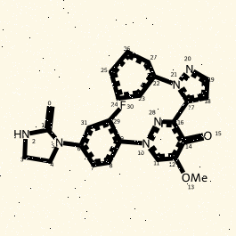 C=C1NCCN1c1ccc(-n2cc(OC)c(=O)c(-c3ccnn3-c3ccccc3)n2)c(F)c1